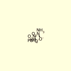 N.N.O=[N+]([O-])[O-].O=[N+]([O-])[O-].[Pd+2]